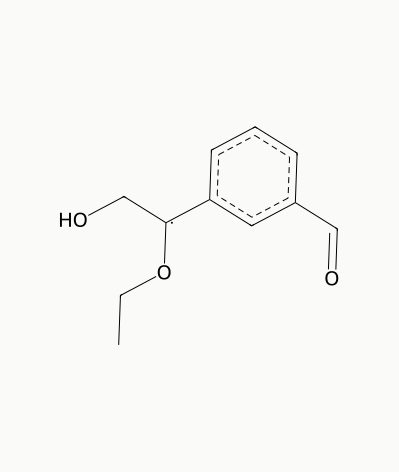 CCO[C](CO)c1cccc(C=O)c1